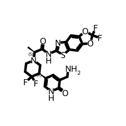 C[C@@H](C(=O)Nc1nc2cc3c(cc2s1)OC(F)(F)O3)N1CCC(F)(F)[C@H](c2c[nH]c(=O)c(CN)c2)C1